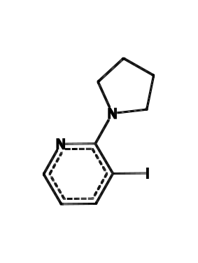 Ic1cccnc1N1CCCC1